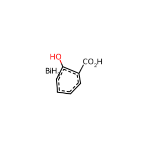 O=C(O)c1ccccc1O.[BiH3]